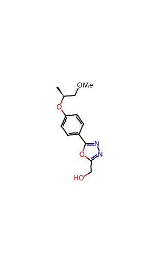 COC[C@H](C)Oc1ccc(-c2nnc(CO)o2)cc1